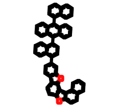 c1ccc2c(-c3c4ccccc4c(-c4ccc(-c5ccc6c(c5)oc5c6ccc6oc7ccc8ccccc8c7c65)c5ccccc45)c4ccccc34)cccc2c1